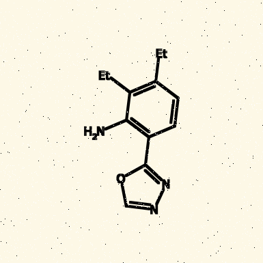 CCc1ccc(-c2nnco2)c(N)c1CC